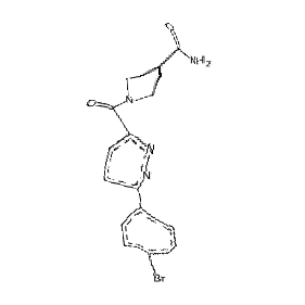 NC(=O)C1CN(C(=O)c2ccc(-c3ccc(Br)cc3)nn2)C1